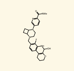 CNC(=O)c1ccc(N2CCN(Cc3ccc4c(c3F)NC(O)C3=C4CCCO3)C3CCC32)cn1